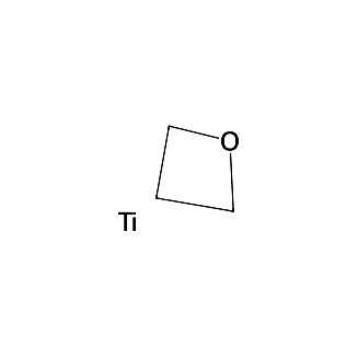 C1COC1.[Ti]